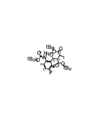 CC(C(=O)OC(C)(C)C)C(C(=O)OC(C)(C)C)C(O)c1c(NC(=O)OC(C)(C)C)ccc(F)c1F